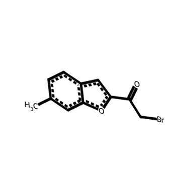 Cc1ccc2cc(C(=O)CBr)oc2c1